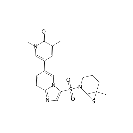 Cc1cc(-c2ccc3ncc(S(=O)(=O)N4CCCC5(C)SC45)n3c2)cn(C)c1=O